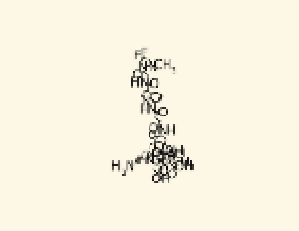 C/N=C1\CC(F)(F)CN1C(=O)CNC(=O)c1ccnc2c(NC(=O)CCC(=O)N[C@@H](CC(=O)O)C(=O)CC[C@@H](CCCCN)C(=O)N[C@@H](CC(=O)O)C(O)N[C@H](C(=O)O)C(C)(C)S)cccc12